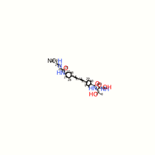 C[C@@H](O)[C@H](NC(=O)c1ccc(C#CC#Cc2ccc(NC(=O)CNCCC#N)cc2)cc1)C(=O)NO